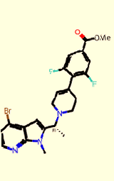 COC(=O)c1cc(F)c(C2=CCN([C@H](C)c3cc4c(Br)ccnc4n3C)CC2)c(F)c1